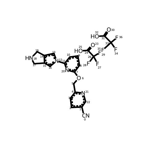 N#Cc1ccc(COc2cccc(-n3cc4c(c3)CNC4)n2)nc1.O=C(O)C(F)(F)F.O=C(O)C(F)(F)F